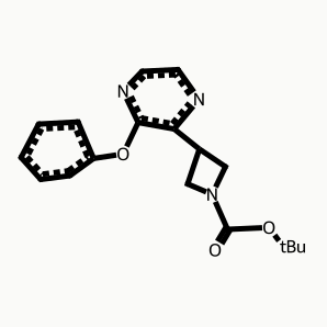 CC(C)(C)OC(=O)N1CC(c2nccnc2Oc2ccccc2)C1